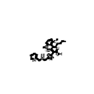 CCCCc1nc(O)c(-c2nnc(CNCc3ccccn3)o2)c(O)c1-c1c(OC)cccc1OC